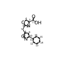 O=C(O)c1coc(Cc2cc(-c3ccccc3)no2)n1